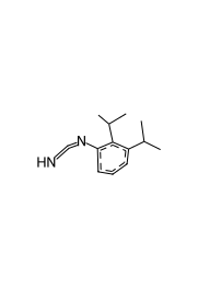 CC(C)c1cccc(N=C=N)c1C(C)C